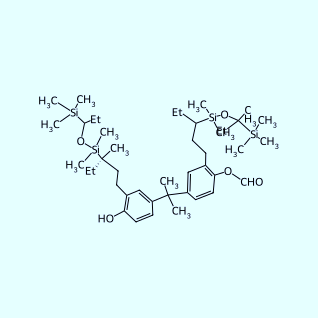 CCC(O[Si](C)(C)[C@](C)(CC)CCc1cc(C(C)(C)c2ccc(OC=O)c(CCC(CC)[Si](C)(C)OC(C)(CC)[Si](C)(C)C)c2)ccc1O)[Si](C)(C)C